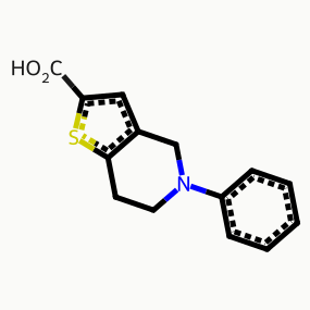 O=C(O)c1cc2c(s1)CCN(c1ccccc1)C2